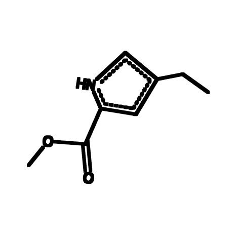 CCc1c[nH]c(C(=O)OC)c1